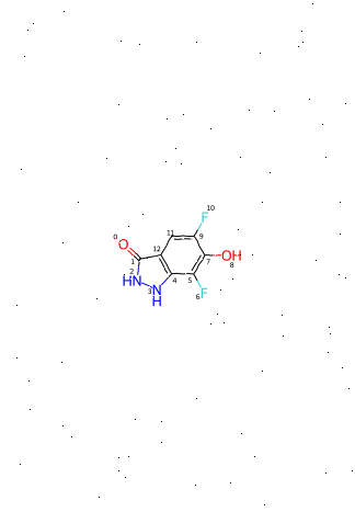 O=c1[nH][nH]c2c(F)c(O)c(F)cc12